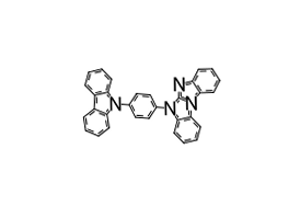 c1ccc2c(c1)nc1n(-c3ccc(-n4c5ccccc5c5ccccc54)cc3)c3ccccc3n21